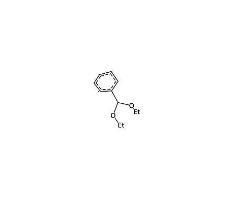 CCOC(OCC)c1[c]cccc1